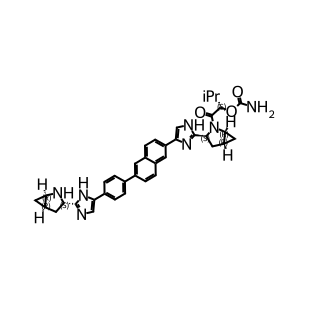 CC(C)[C@H](OC(N)=O)C(=O)N1[C@@H]2C[C@@H]2C[C@H]1c1nc(-c2ccc3cc(-c4ccc(-c5cnc([C@@H]6C[C@H]7C[C@H]7N6)[nH]5)cc4)ccc3c2)c[nH]1